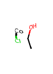 CCO.[Cl][Co]